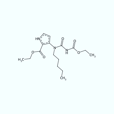 CCCCCN(C(=O)NC(=O)OCC)c1cc[nH]c1C(=O)OCC